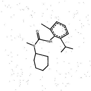 Cc1cccc(C(C)C)c1NC(=O)N(C)C1CCCCC1